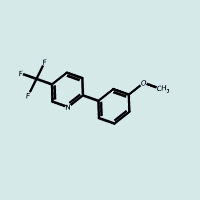 COc1cccc(-c2ccc(C(F)(F)F)cn2)c1